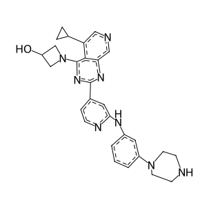 OC1CN(c2nc(-c3ccnc(Nc4cccc(N5CCNCC5)c4)c3)nc3cncc(C4CC4)c23)C1